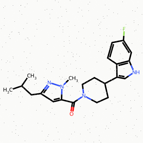 CC(C)Cc1cc(C(=O)N2CCC(c3c[nH]c4cc(F)ccc34)CC2)n(C)n1